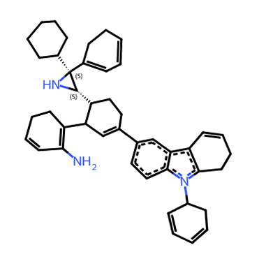 NC1=C(C2C=C(c3ccc4c(c3)c3c(n4C4C=CC=CC4)CCC=C3)CCC2[C@@H]2N[C@]2(C2=CC=CCC2)C2CCCCC2)CCC=C1